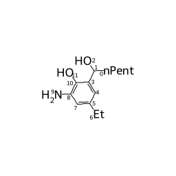 CCCCCC(O)c1cc(CC)cc(N)c1O